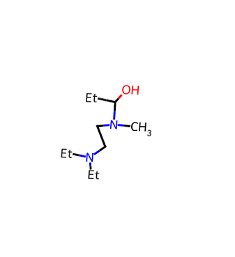 CCC(O)N(C)CCN(CC)CC